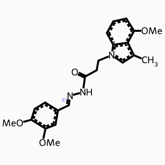 COc1ccc(/C=N/NC(=O)CCn2cc(C)c3c(OC)cccc32)cc1OC